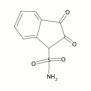 NS(=O)(=O)C1C(=O)C(=O)c2ccccc21